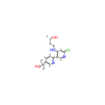 C[C@H](O)CCNc1cc(Cl)ncc1-c1ccc(C(C)(C)O)cn1